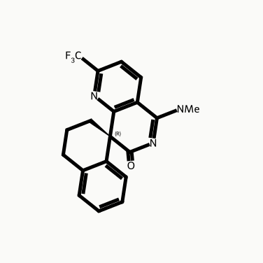 CNC1=NC(=O)[C@@]2(CCCc3ccccc32)c2nc(C(F)(F)F)ccc21